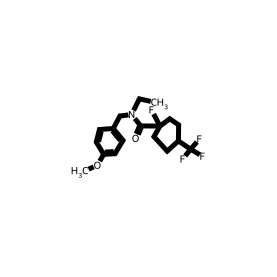 CCN(Cc1ccc(OC)cc1)C(=O)C1(F)CCC(C(F)(F)F)CC1